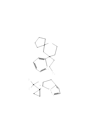 FC(F)(F)C1([C@H]2C[C@H](NCCC3(c4ccccn4)CCOC4(CCCC4)C3)c3ccnn32)CC1